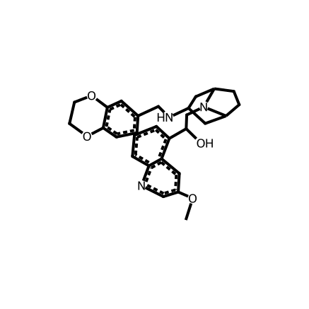 COc1cnc2cccc(C(O)CN3C4CCC3CC(NCc3ccc5c(c3)OCCO5)C4)c2c1